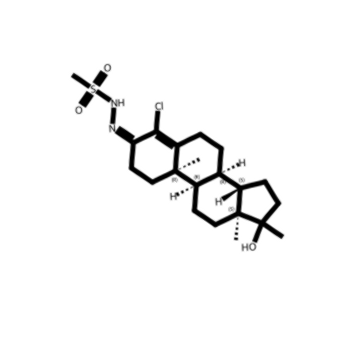 CC1(O)CC[C@H]2[C@@H]3CCC4=C(Cl)C(=NNS(C)(=O)=O)CC[C@]4(C)[C@@H]3CC[C@@]21C